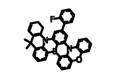 CC1(C)C2=C(CCC=C2)N2c3cc(-c4ccccc4F)cc4c3B(c3cccc1c32)c1cccc2c1N4c1ccccc1O2